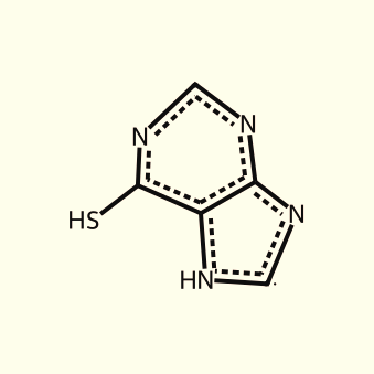 Sc1ncnc2n[c][nH]c12